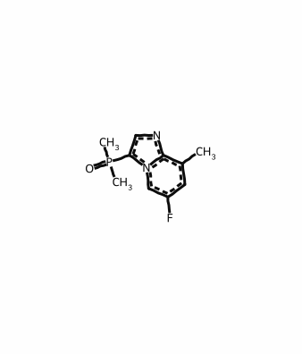 Cc1cc(F)cn2c(P(C)(C)=O)cnc12